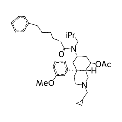 COc1cccc([C@@]23CCN(CC4CC4)C[C@H]2C(OC(C)=O)C[C@@H](N(CC(C)C)C(=O)CCCCCc2ccccc2)C3)c1